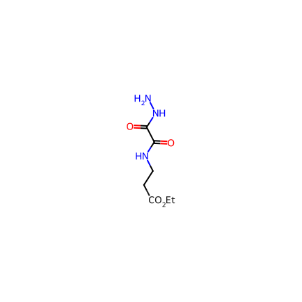 CCOC(=O)CCNC(=O)C(=O)NN